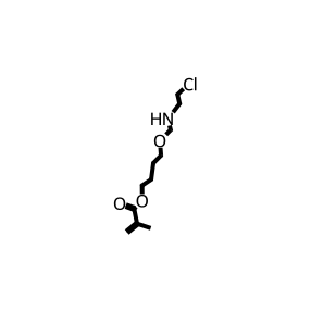 C=C(C)C(=O)OCCCCOCNCCCl